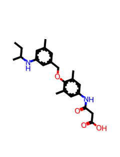 CCC(C)Nc1cc(C)cc(COc2c(C)cc(NC(=O)CC(=O)O)cc2C)c1